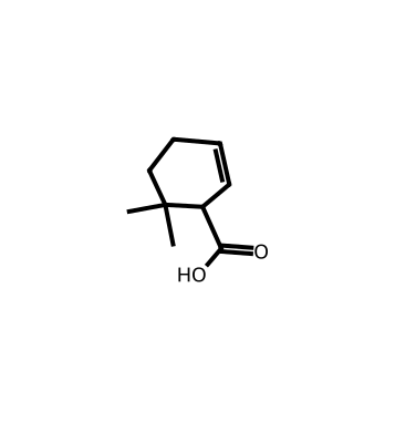 CC1(C)CCC=CC1C(=O)O